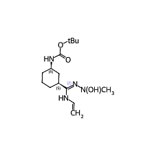 C=CN/C(=N\N(C)O)[C@H]1CCC[C@@H](NC(=O)OC(C)(C)C)C1